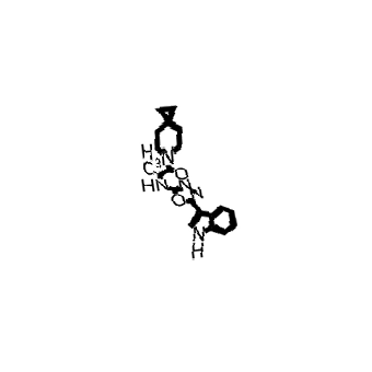 C[C@@H](Nc1nnc(-c2c[nH]c3ccccc23)o1)C(=O)N1CCC2(CC1)CC2